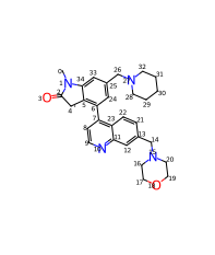 CN1C(=O)[CH]c2c(-c3ccnc4cc(CN5CCOCC5)ccc34)cc(CN3CCCCC3)cc21